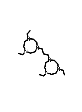 CCN1CCN(CC)CCN(CCCN2CCN(CC)CCN(CC)CC2)CC1